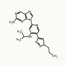 CCCn1cc(-c2cnc(-n3cnc4cnc(N)nc43)cc2NC(C)C)nn1